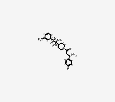 CC(C)(C1CCN(C(=O)C[C@H](N)c2ccc(Cl)cc2)CC1)S(=O)(=O)c1cccc(C(F)(F)F)c1